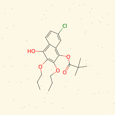 CCCOc1c(OCCC)c(OC(=O)C(C)(C)C)c2cc(Cl)ccc2c1O